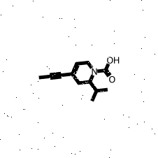 CC#CC1=CCN(C(=O)O)C(C(C)C)C1